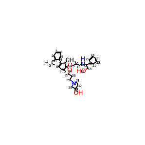 Cc1ccccc1C1=CC=CC(OCCCNC(CO)c2ccccc2)(OCCCN2CC[C@@H](O)C2)C1C